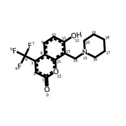 O=c1cc(C(F)(F)F)c2ccc(O)c(CN3CCCCC3)c2o1